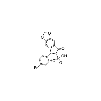 O=C1c2cc3c(cc2C(c2ccc(Br)cc2)C1P(=O)(O)O)OCO3